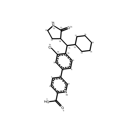 O=C(O)c1ccc(-c2ccc(C(C3CCCCC3)C3CCNC3=O)c(Cl)c2)cn1